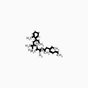 C=C(CC(/C=C\C=C/C)=C/C)NC(=C)C(=C)NC(CC(CC)C1=CCCC=C1C)C(=C)C